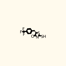 O=C1N=C(S)S[C@@H]1Cc1ccc(C(F)(F)F)cc1